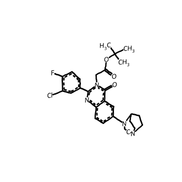 CC(C)(C)OC(=O)Cn1c(-c2ccc(F)c(Cl)c2)nc2ccc(N3CCN4CCC3CC4)cc2c1=O